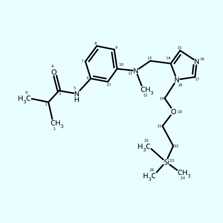 CC(C)C(=O)Nc1cccc(N(C)Cc2cncn2COCC[Si](C)(C)C)c1